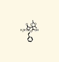 CC1OC(C)C(C(=O)O)(N2C(=O)[C@@H](N)[C@H]2C=Cc2ccccc2)O1